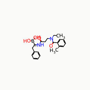 CCN(CCC(=O)N[C@@H](Cc1ccccc1)B(O)O)C(=O)c1ccccc1C